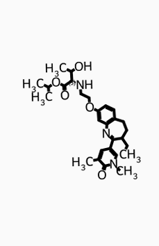 CCC1CCc2ccc(OCCN[C@H](C(=O)OC(C)C)C(C)O)cc2N=C1c1cc(C)c(=O)n(C)c1